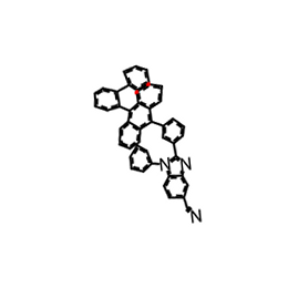 N#Cc1ccc2c(c1)nc(-c1cccc(-c3c4ccccc4c(-c4ccccc4-c4ccccc4)c4ccccc34)c1)n2-c1ccccc1